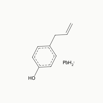 C=CCc1ccc(O)cc1.[PbH2]